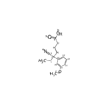 CCC(C#N)(CCCC(=O)O)c1cccc(OC)c1